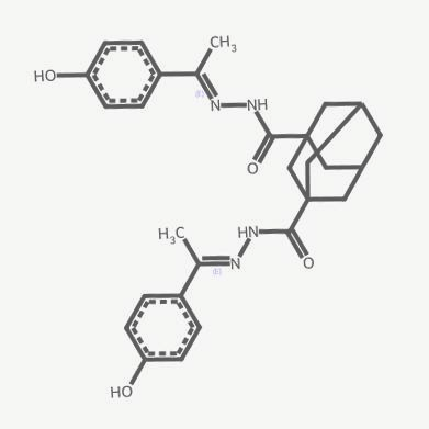 C/C(=N\NC(=O)C12CC3CC(C1)CC(C(=O)N/N=C(\C)c1ccc(O)cc1)(C3)C2)c1ccc(O)cc1